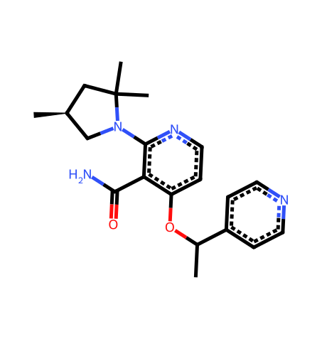 CC(Oc1ccnc(N2C[C@@H](C)CC2(C)C)c1C(N)=O)c1ccncc1